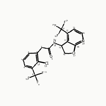 O=C(Cc1cccc(C(F)(F)F)c1Cl)NC1COc2nccc(C(F)(F)F)c21